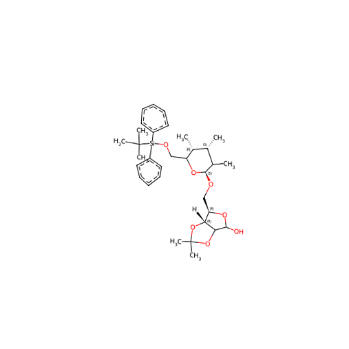 CC1[C@@H](OC[C@H]2OC(O)C3OC(C)(C)O[C@@H]32)OC(CO[Si](c2ccccc2)(c2ccccc2)C(C)(C)C)[C@H](C)[C@@H]1C